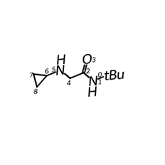 CC(C)(C)NC(=O)CNC1CC1